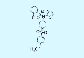 CCc1ccc(S(=O)(=O)N2CCC(N(c3nccs3)S(=O)(=O)c3ccccc3Cl)CC2)cc1